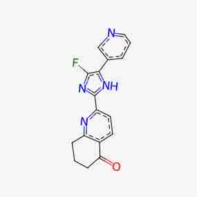 O=C1CCCc2nc(-c3nc(F)c(-c4cccnc4)[nH]3)ccc21